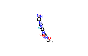 CC(=O)NC[C@H]1CN(c2ccc(N3CCN(c4ccc5nonc5c4)CC3)c(F)c2)C(=O)O1